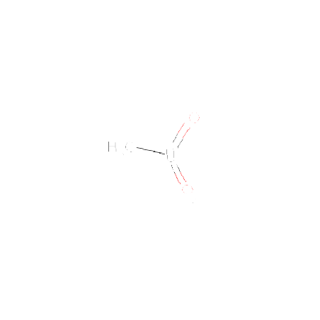 [CH3][U](=[O])=[O]